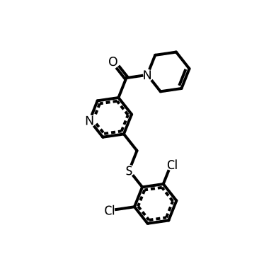 O=C(c1cncc(CSc2c(Cl)cccc2Cl)c1)N1CC=CCC1